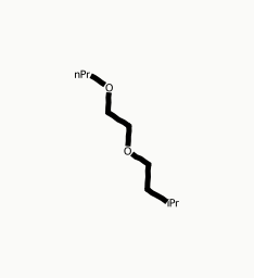 CCCOCCOCCC(C)C